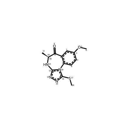 COc1ccc2c(c1)C(=O)[C@H](C)Nc1nnc(SC)n1-2